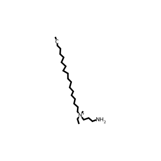 CCCCCCCCCCCCCCCCCCC[N+](C)(CC)CCCN